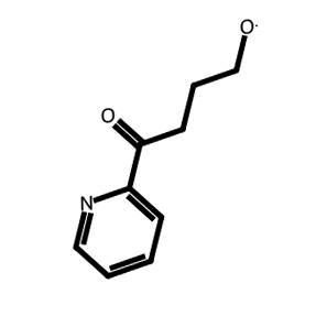 [O]CCCC(=O)c1ccccn1